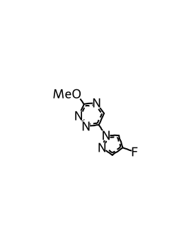 COc1ncc(-n2cc(F)cn2)nn1